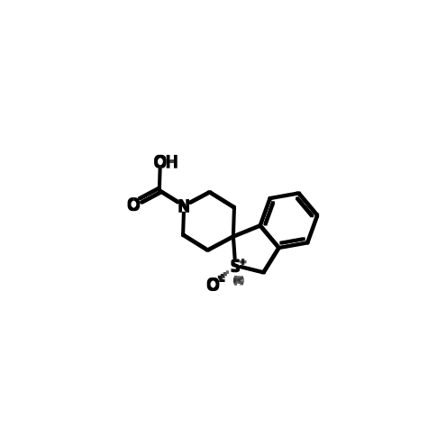 O=C(O)N1CCC2(CC1)c1ccccc1C[S@+]2[O-]